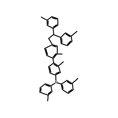 Cc1cccc(C(Cc2ccc(-c3ccc(N(c4cccc(C)c4)c4cccc(C)c4)cc3C)c(C)c2)c2cccc(C)c2)c1